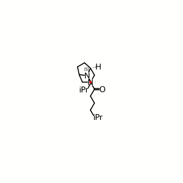 CC(C)CCCC(=O)N1CC2CC[C@@H](C1)N2CC(C)C